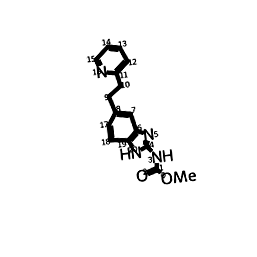 COC(=O)Nc1nc2cc(CCc3ccccn3)ccc2[nH]1